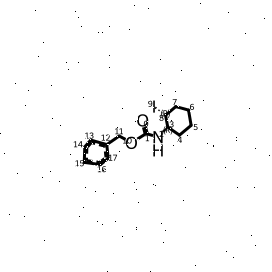 O=C(N[C@@H]1CCCC[C@H]1I)OCc1ccccc1